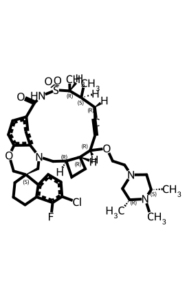 C[C@@H]1[C@@H](C)S(=O)(=O)NC(=O)c2ccc3c(c2)N(C[C@@H]2CC[C@H]2[C@@H](OCCN2C[C@@H](C)N(C)[C@@H](C)C2)C2=C[C@H]1C2)C[C@@]1(CCCc2c1ccc(Cl)c2F)CO3